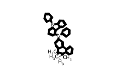 CC1(C)c2ccccc2-c2cc(N(c3ccccc3)c3cccc4c3c3ccccc3n4-c3ccccc3)ccc2C1(C)C